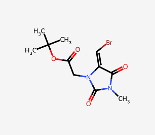 CN1C(=O)C(=CBr)N(CC(=O)OC(C)(C)C)C1=O